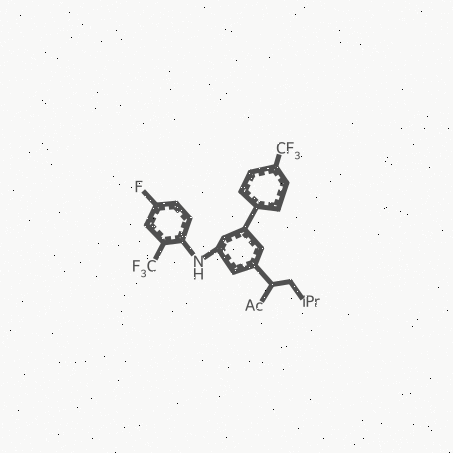 CC(=O)C(CC(C)C)c1cc(Nc2ccc(F)cc2C(F)(F)F)cc(-c2ccc(C(F)(F)F)cc2)c1